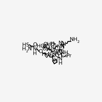 CC(C)C[C@H](NC(=O)[C@@H]1CCCN1C(=O)CCOCCOCCNC(=O)[C@@H](N)CS)C(=O)N[C@@H](Cc1cncn1CCCN)C(=O)N[C@@H](CO)C(=O)N[C@H](C(N)=O)[C@@H](C)OP(=O)(O)O